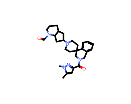 Cc1cc(C(=O)N2Cc3ccccc3C3(CCN(C4CC5CCCN(C=O)C5C4)CC3)C2)nn1C